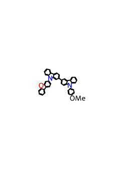 COc1ccc(-n2c3ccccc3c3cc(-c4ccc5c6ccccc6n(-c6ccc7c(c6)oc6ccccc67)c5c4)ccc32)cc1